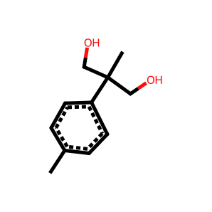 Cc1ccc(C(C)(CO)CO)cc1